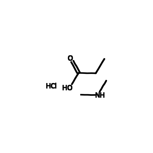 CCC(=O)O.CNC.Cl